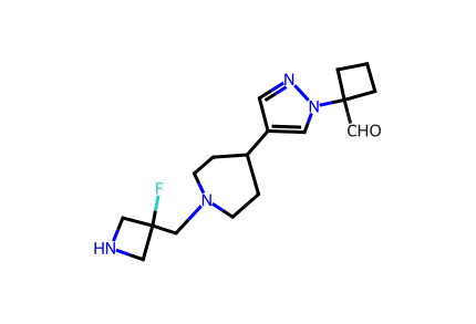 O=CC1(n2cc(C3CCN(CC4(F)CNC4)CC3)cn2)CCC1